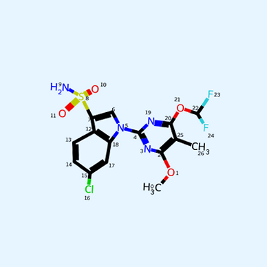 COc1nc(-n2cc(S(N)(=O)=O)c3ccc(Cl)cc32)nc(OC(F)F)c1C